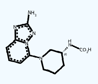 Nc1nc2cccc(N3CCC[C@@H](NC(=O)O)C3)n2n1